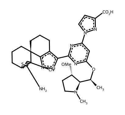 CO[C@H]1CCN(C)[C@@H]1[C@H](C)Oc1cc(-n2ccc(C(=O)O)n2)nc(-c2onc3c2CCC[C@@]32CCCc3sc(N)c(C#N)c32)n1